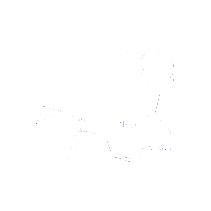 O=C(NC1CC1)c1ccc2[nH]nc(-c3cccc(F)c3)c2n1